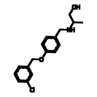 CC(CO)NCc1ccc(OCc2cccc(Cl)c2)cc1